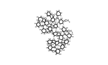 Cc1cccc(N(c2ccccc2)c2cc3c(c4c2oc2ccccc24)-c2c(cc(N(c4ccccc4)c4cccc(C)c4)c4c2oc2ccccc24)C3(c2ccccc2)c2cccc(-c3ccc4c(c3)oc3c(N(c5ccccc5)c5ccccc5C)cc5c(c34)-c3c(cc(N(c4ccccc4)c4ccccc4C)c4c3oc3ccccc34)C5(c3ccccc3)c3ccccc3)c2)c1